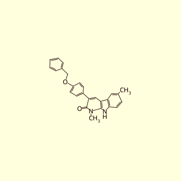 Cc1ccc2[nH]c3c(cc(-c4ccc(OCc5ccccc5)cc4)c(=O)n3C)c2c1